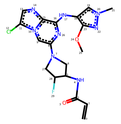 C=CC(=O)NC1CN(c2cn3c(Cl)cnc3c(Nc3cn(C)nc3OC)n2)CC1F